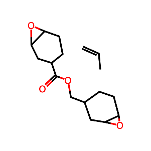 C=CC.O=C(OCC1CCC2OC2C1)C1CCC2OC2C1